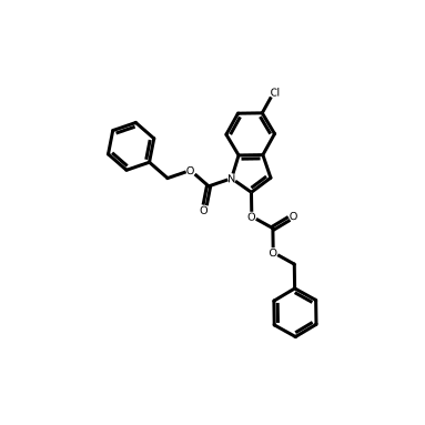 O=C(OCc1ccccc1)Oc1cc2cc(Cl)ccc2n1C(=O)OCc1ccccc1